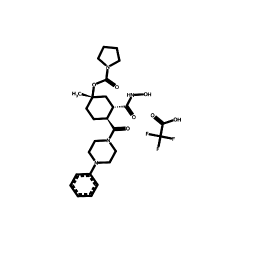 C[C@]1(OC(=O)N2CCCC2)CC[C@H](C(=O)N2CCN(c3ccccc3)CC2)[C@@H](C(=O)NO)C1.O=C(O)C(F)(F)F